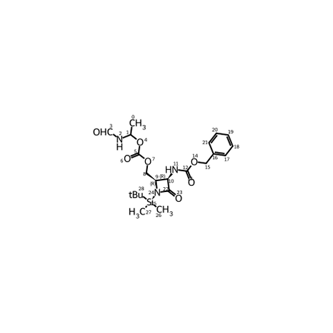 CC(NC=O)OC(=O)OC[C@H]1[C@@H](NC(=O)OCc2ccccc2)C(=O)N1[Si](C)(C)C(C)(C)C